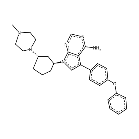 CN1CCN([C@H]2CCC[C@H](n3cc(-c4ccc(Oc5ccccc5)cc4)c4c(N)ncnc43)C2)CC1